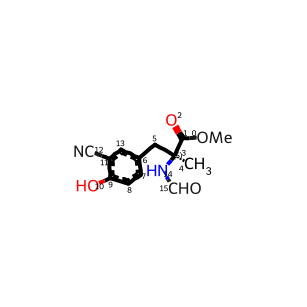 COC(=O)[C@](C)(Cc1ccc(O)c(C#N)c1)NC=O